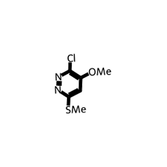 COc1cc(SC)nnc1Cl